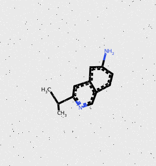 CC(C)c1cc2cc(N)ccc2cn1